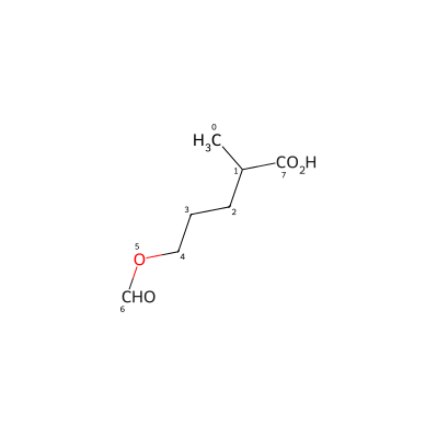 CC(CCCOC=O)C(=O)O